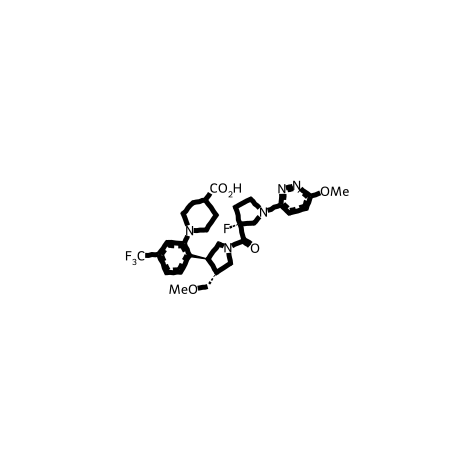 COC[C@H]1CN(C(=O)[C@@]2(F)CCN(c3ccc(OC)nn3)C2)C[C@@H]1c1ccc(C(F)(F)F)cc1N1CCC(C(=O)O)CC1